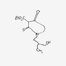 CCOC(=O)C1C(=O)CCN(CC(C)O)C1=O